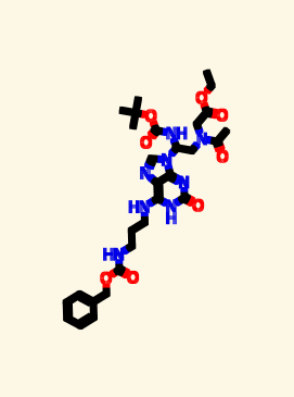 CCOC(=O)CN(CC(NC(=O)OC(C)(C)C)n1cnc2c(NCCCNC(=O)OCc3ccccc3)[nH]c(=O)nc21)C(C)=O